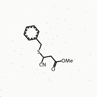 COC(=O)CC(C#N)SCc1ccccc1